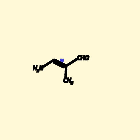 C/C(C=O)=C\N